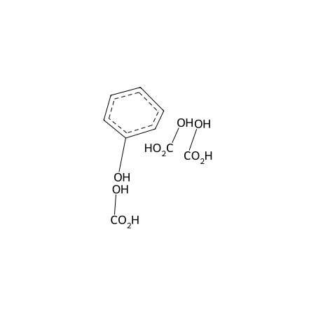 O=C(O)O.O=C(O)O.O=C(O)O.Oc1ccccc1